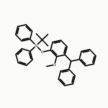 [CH2]Oc1c(O[Si](c2ccccc2)(c2ccccc2)C(C)(C)C)cccc1C(c1ccccc1)c1ccccc1